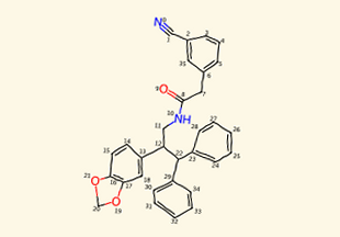 N#Cc1cccc(CC(=O)NCC(c2ccc3c(c2)OCO3)C(c2ccccc2)c2ccccc2)c1